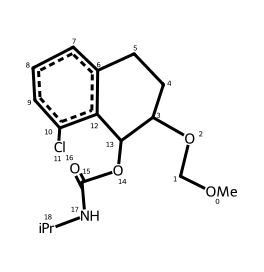 COCOC1CCc2cccc(Cl)c2C1OC(=O)NC(C)C